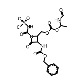 CC(NC=O)OC(=O)OCC1C(NC(=O)OCc2ccccc2)C(=O)N1C(=O)NS(=O)(=O)Cl